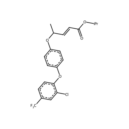 CC(C)OC(=O)/C=C/C(C)Oc1ccc(Oc2ccc(C(F)(F)F)cc2Cl)cc1